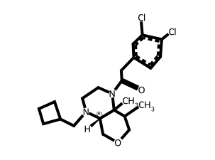 CC1COC[C@@H]2N(CC3CCC3)CCN(C(=O)Cc3ccc(Cl)c(Cl)c3)C12C